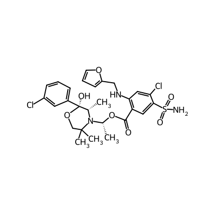 C[C@@H]1N([C@@H](C)OC(=O)c2cc(S(N)(=O)=O)c(Cl)cc2NCc2ccco2)C(C)(C)CO[C@@]1(O)c1cccc(Cl)c1